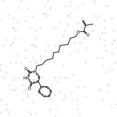 C=C(C)C(=O)OCCCCCCCCCCn1cc(-c2ccccc2)c(=O)[nH]c1=O